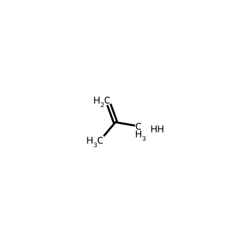 C=C(C)C.[HH]